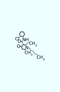 CCCCCCn1c(C)cc(=O)c(C(=O)Nc2ccccc2Cl)c1CC